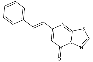 O=c1cc(/C=C/c2ccccc2)nc2scnn12